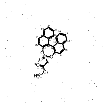 COC(=O)CP1(=O)Oc2ccc3ccccc3c2-c2c(ccc3ccccc23)O1